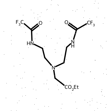 CCOC(=O)CN(CCNC(=O)C(F)(F)F)CCNC(=O)C(F)(F)F